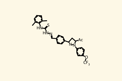 CC(=O)C1CC(c2ccc(/C=N/NC(=S)Nc3c(C)cccc3C)cc2)=NN1c1ccc(OC(F)(F)F)cc1